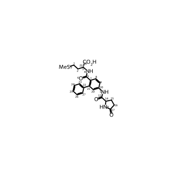 CSCC[C@H](NC(=O)c1ccc(NC(=O)C2CCC(=O)N2)cc1-c1ccccc1)C(=O)O